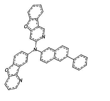 c1ccc(-c2ccc3cc(N(c4ccc5oc6cccnc6c5c4)c4cc5oc6ccccc6c5cn4)ccc3c2)cc1